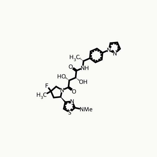 CNc1nc([C@H]2CC(C)(F)CN2C(=O)[C@H](O)[C@@H](O)C(=O)N[C@H](C)c2ccc(-n3cccn3)cc2)cs1